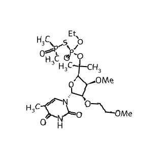 CCOP(=O)(OC(C)(C)C1O[C@@H](n2cc(C)c(=O)[nH]c2=O)[C@H](OCCOC)[C@@H]1OC)SP(C)(C)=O